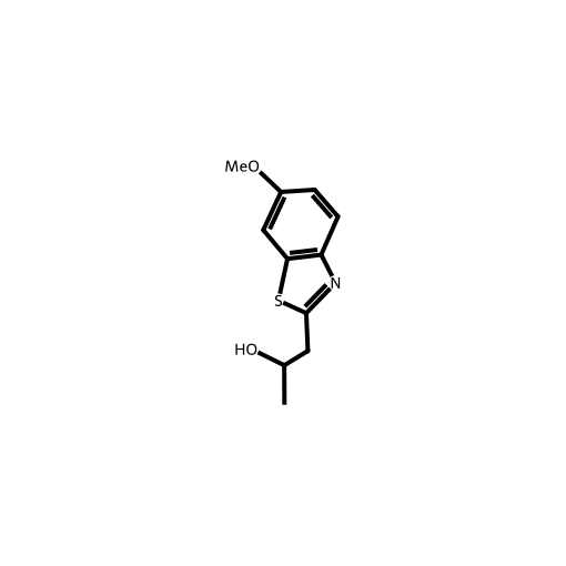 COc1ccc2nc(CC(C)O)sc2c1